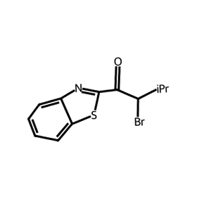 CC(C)C(Br)C(=O)c1nc2ccccc2s1